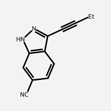 CCC#Cc1n[nH]c2cc(C#N)ccc12